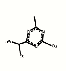 CCCC(CC)c1nc(C)nc(C(C)CC)n1